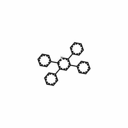 c1ccc(-c2cc(-c3ccccc3)c(-c3ccccc3)nc2-c2ccccc2)cc1